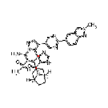 Cn1cc2cc(-c3ncc(-c4cnn5c(N)c(S(C)(=O)=O)c([C@@H]6C[C@H]7CC[C@@H](C6)N7C(=O)c6nnc[nH]6)nc45)cn3)ccc2n1